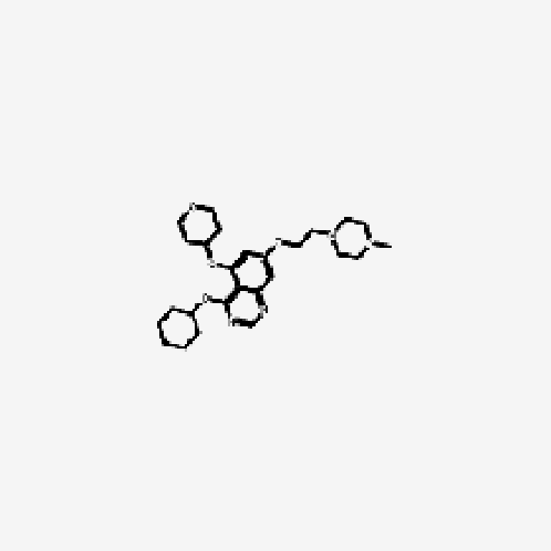 CN1CCN(CCOc2cc(OC3CCOCC3)c3c(OC4CCCCC4)ncnc3c2)CC1